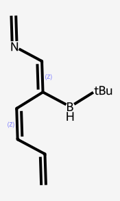 C=C/C=C\C(BC(C)(C)C)=C/N=C